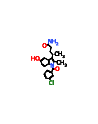 Cc1c([C@@H](C)CCC(N)=O)c2cc(O)ccc2n1C(=O)c1cccc(Cl)c1